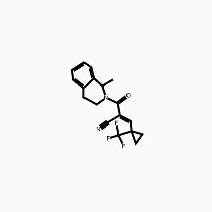 CC1c2ccccc2CCN1C(=O)/C(C#N)=C/C1(C(F)(F)F)CC1